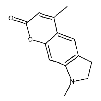 Cc1cc(=O)oc2cc3c(cc12)CCN3C